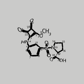 COc1c(Nc2cccc(S(=O)(=O)N3CCC[C@@H]3C(=O)O)c2)c(=O)c1=O